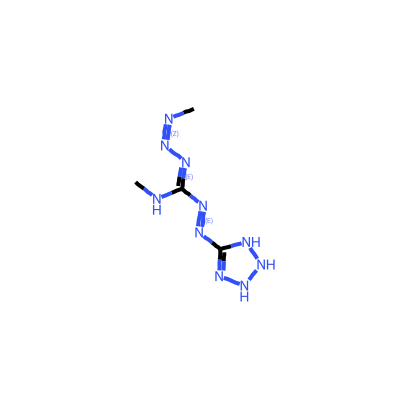 C\N=N/N=C(/N=N/C1=NNNN1)NC